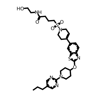 CCCc1cnc(N2CCC(Oc3nc4ccc(C5=CCN(S(=O)(=O)CCCC(=O)NCCO)CC5)cc4s3)CC2)nc1